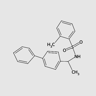 Cc1ccccc1S(=O)(=O)NC(C)c1ccc(-c2ccccc2)cc1